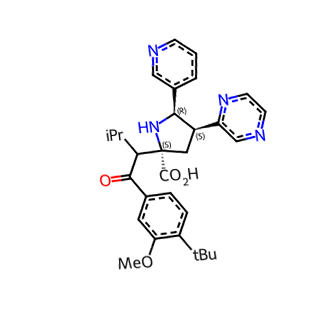 COc1cc(C(=O)C(C(C)C)[C@]2(C(=O)O)C[C@H](c3cnccn3)[C@H](c3cccnc3)N2)ccc1C(C)(C)C